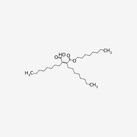 CCCCCCCCOC(=O)/C(CCCCCCCC)=C(/CCCCCCCC)C(=O)O